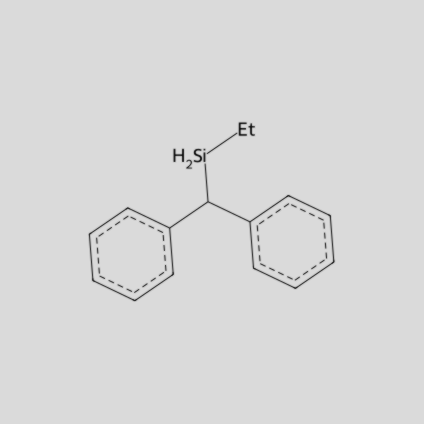 [CH2]C[SiH2]C(c1ccccc1)c1ccccc1